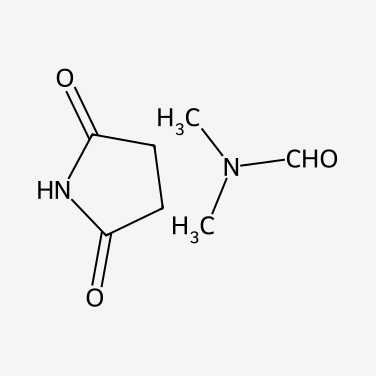 CN(C)C=O.O=C1CCC(=O)N1